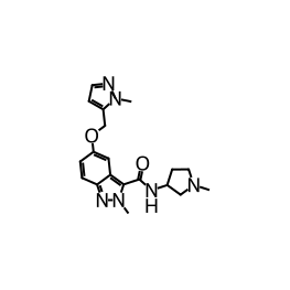 CN1CCC(NC(=O)c2c3cc(OCc4ccnn4C)ccc3nn2C)C1